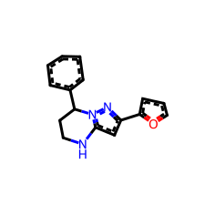 c1ccc(C2CCNc3cc(-c4ccco4)nn32)cc1